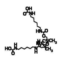 C[Si](C)(COC(=O)NCCCCCCNC(=O)O)O[Si](C)(C)CC(=O)NCCCCCCNC(=O)O